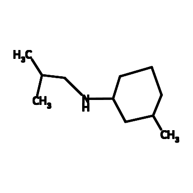 CC(C)CNC1CCCC(C)C1